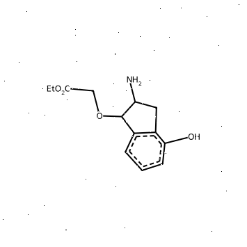 CCOC(=O)COC1c2cccc(O)c2CC1N